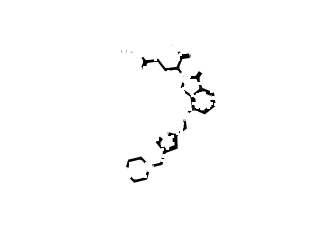 COC(=O)CCC(C(N)=O)N1Cc2c(OCc3cc(CN4CCOCC4)co3)cccc2C1=O